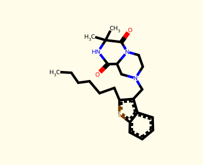 CCCCCCc1sc2ccccc2c1CN1CCN2C(=O)C(C)(C)NC(=O)C2C1